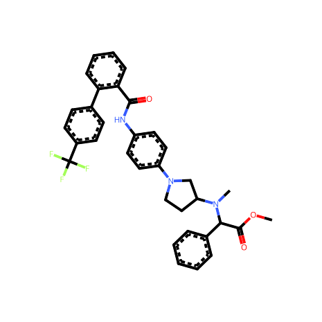 COC(=O)C(c1ccccc1)N(C)C1CCN(c2ccc(NC(=O)c3ccccc3-c3ccc(C(F)(F)F)cc3)cc2)C1